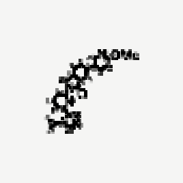 COc1ccc(-c2ccc3c(c2)C(=O)N(c2cccc(-c4nncn4C4CC4)n2)C3)cn1